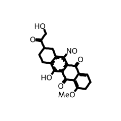 COC1=C2C(=O)c3c(O)c4c(c(N=O)c3C(=O)C2=CCC1)CC(C(=O)CO)CC4